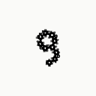 c1cc(-c2ccc3oc4ccc(-c5cc(-c6ccc7oc8ccc(-c9ccncc9)cc8c7c6)cc(-c6ccc7oc8ccc(-c9ccncc9)cc8c7c6)c5)cc4c3c2)ccn1